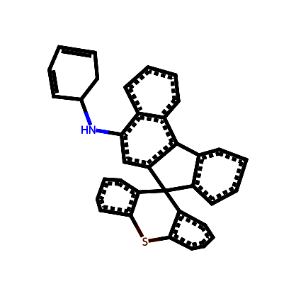 C1=CCC(Nc2cc3c(c4ccccc24)-c2ccccc2C32c3ccccc3Sc3ccccc32)C=C1